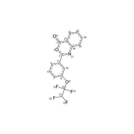 O=c1oc(-c2cccc(OC(F)(F)C(F)F)c2)nc2ccccc12